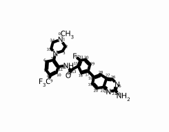 CN1CCN(c2ccc(C(F)(F)F)cc2NC(=O)c2cc(-c3ccc4nc(N)ncc4c3)ccc2F)CC1